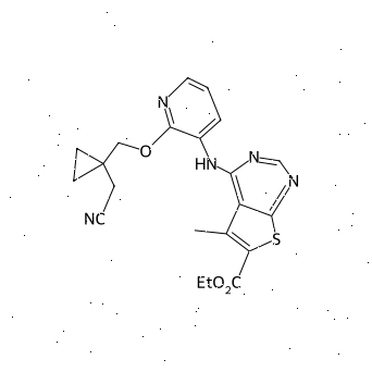 CCOC(=O)c1sc2ncnc(Nc3cccnc3OCC3(CC#N)CC3)c2c1C